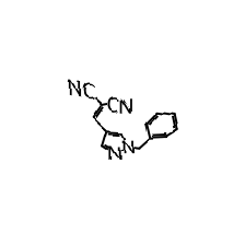 N#CC(C#N)=Cc1cnn(Cc2ccccc2)c1